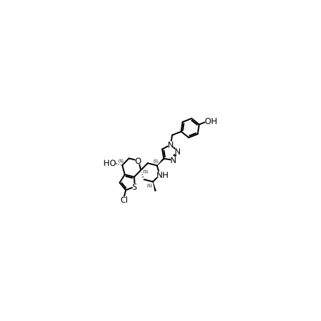 C[C@H]1C[C@@]2(C[C@@H](c3cn(Cc4ccc(O)cc4)nn3)N1)OC[C@@H](O)c1cc(Cl)sc12